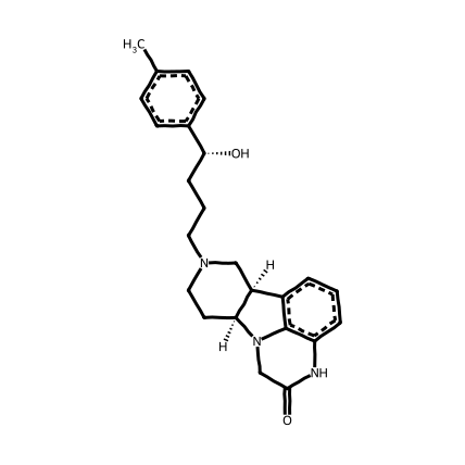 Cc1ccc([C@H](O)CCCN2CC[C@H]3[C@@H](C2)c2cccc4c2N3CC(=O)N4)cc1